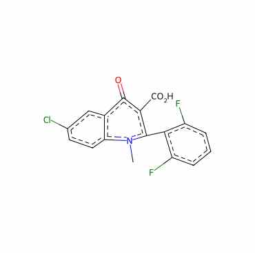 Cn1c(-c2c(F)cccc2F)c(C(=O)O)c(=O)c2cc(Cl)ccc21